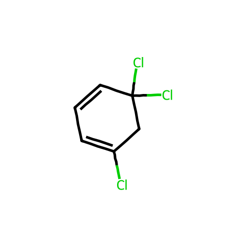 ClC1=CC=CC(Cl)(Cl)C1